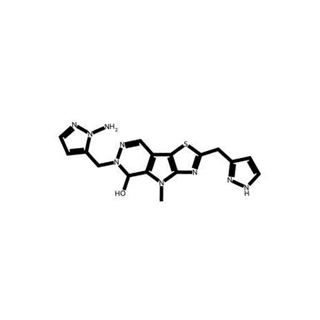 Cn1c2c(c3sc(Cc4cc[nH]n4)nc31)C=NN(Cc1ccnn1N)C2O